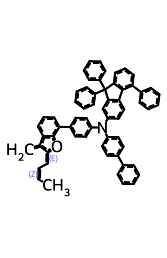 C=c1/c(=C\C=C/C)oc2c(-c3ccc(N(c4ccc(-c5ccccc5)cc4)c4ccc5c(c4)C(c4ccccc4)(c4ccccc4)c4cccc(-c6ccccc6)c4-5)cc3)cccc12